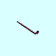 CC(C)=CCC/C(C)=C/C/C=C(\C)CCC/C(C)=C/CC/C(C)=C/CC/C(C)=C/CC/C(C)=C/CC/C(C)=C/CC/C(C)=C/CC/C(C)=C/CC/C(C)=C/COC(=O)c1ccccc1